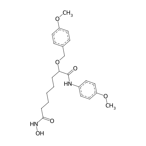 COc1ccc(COC(CCCCCC(=O)NO)C(=O)Nc2ccc(OC)cc2)cc1